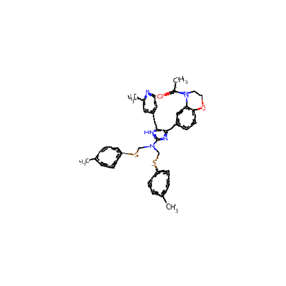 CC(=O)N1CCOc2ccc(-c3nc(N(CSc4ccc(C)cc4)CSc4ccc(C)cc4)[nH]c3-c3ccnc(C)c3)cc21